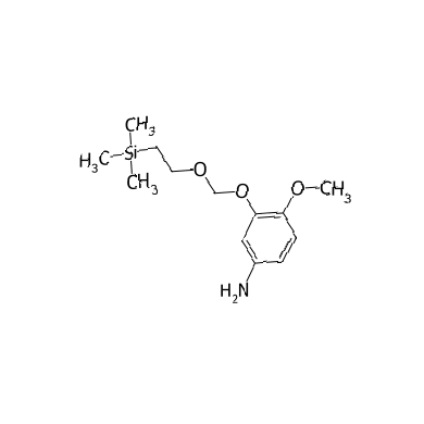 COc1ccc(N)cc1OCOCC[Si](C)(C)C